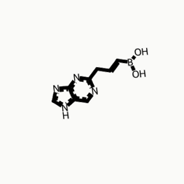 OB(O)C=CCc1ncc2[nH]cnc2n1